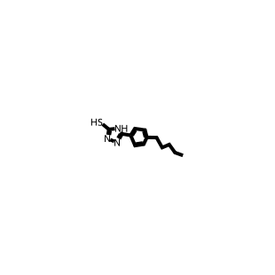 CCCCCc1ccc(-c2nnc(S)[nH]2)cc1